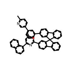 Cc1ccc(-c2cccc(-c3ccc4c(c3)C3(c5ccccc5-4)c4ccccc4-c4ccc(-c5nc(C)cc(-c6cccc7ccccc67)n5)cc43)c2)cn1